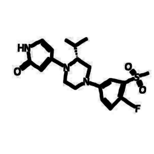 CC(C)[C@@H]1CN(c2ccc(F)c(S(C)(=O)=O)c2)CCN1c1cc[nH]c(=O)c1